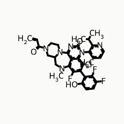 C=CC(=O)N1CCN2c3nc(=O)n(-c4c(C)ccnc4C(C)C)c4c(Cl)c(-c5c(O)ccc(F)c5F)c(F)c(c34)N(C)CC2C1